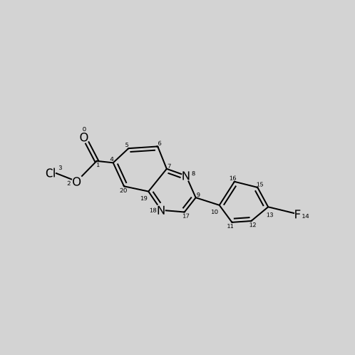 O=C(OCl)c1ccc2nc(-c3ccc(F)cc3)cnc2c1